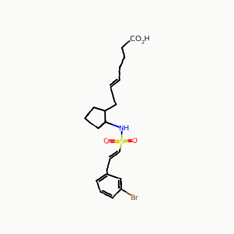 O=C(O)CCCC=CCC1CCCC1NS(=O)(=O)C=Cc1cccc(Br)c1